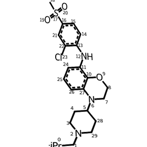 C[C](C)CN1CCC(N2CCOc3c(Nc4ccc(S(C)(=O)=O)cc4Cl)cccc32)CC1